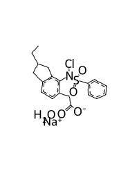 CCC1Cc2ccc(CC(=O)[O-])c(N(Cl)S(=O)(=O)c3ccccc3)c2C1.O.[Na+]